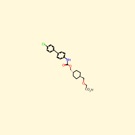 O=C(O)COC[C@H]1CC[C@H](COC(=O)Nc2ccc(-c3ccc(Cl)cc3)cc2)CC1